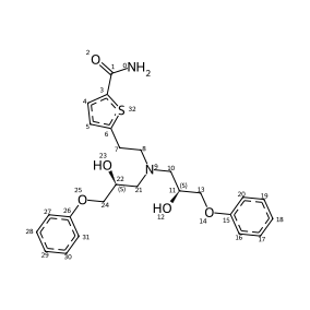 NC(=O)c1ccc(CCN(C[C@H](O)COc2ccccc2)C[C@H](O)COc2ccccc2)s1